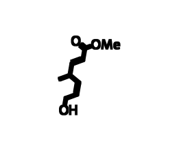 COC(=O)/C=C/C(C)/C=C\CO